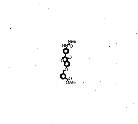 CNC(=O)Nc1ccc(-c2coc3cc(OCc4cccc(C(=O)OC)c4)ccc3c2=O)cc1